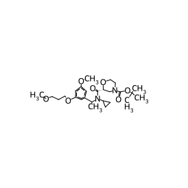 COCCCOc1cc(OC)cc(C(C)N(C(=O)[C@H]2CN(C(=O)OC(C)(C)C)CCO2)C2CC2)c1